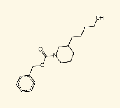 O=C(OCc1ccccc1)N1CCCC(CCCCO)C1